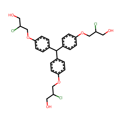 OCC(Cl)COc1ccc(C(c2ccc(OCC(Cl)CO)cc2)c2ccc(OCC(Cl)CO)cc2)cc1